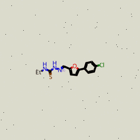 CCNC(=S)N/N=C/c1ccc(-c2ccc(Cl)cc2)o1